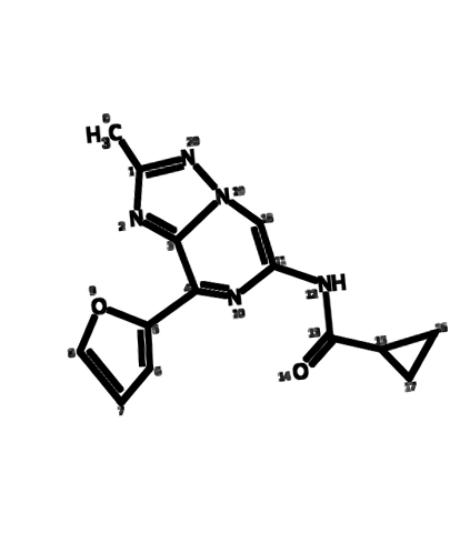 Cc1nc2c(-c3ccco3)nc(NC(=O)C3CC3)cn2n1